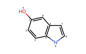 Oc1ccc2c(c1)C=C[N]2